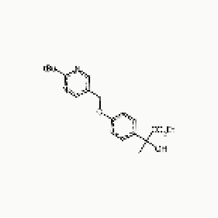 CCOC(=O)C(C)(O)c1ccc(OCc2cnc(C(C)(C)C)nc2)cc1